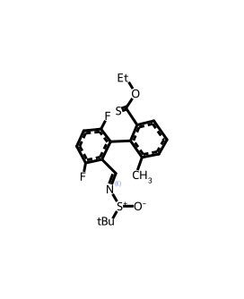 CCOC(=S)c1cccc(C)c1-c1c(F)ccc(F)c1/C=N/[S+]([O-])C(C)(C)C